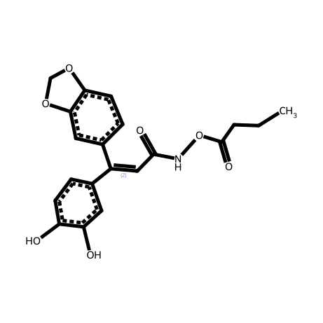 CCCC(=O)ONC(=O)/C=C(/c1ccc(O)c(O)c1)c1ccc2c(c1)OCO2